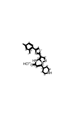 Cc1ccc(-c2csc(-c3cnn4c(C5CCNCC5)cc(=O)[nH]c34)n2)c(C)c1.Cl